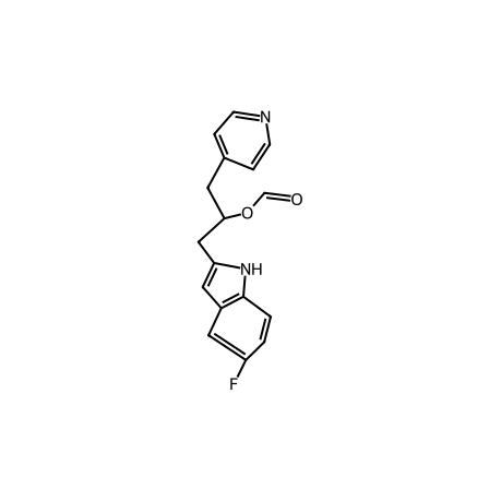 O=COC(Cc1ccncc1)Cc1cc2cc(F)ccc2[nH]1